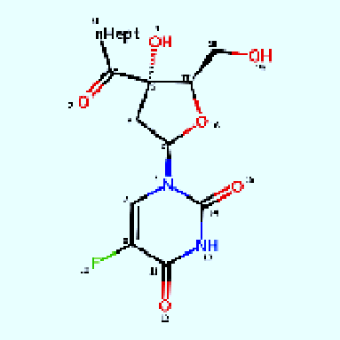 CCCCCCCC(=O)[C@]1(O)C[C@H](n2cc(F)c(=O)[nH]c2=O)O[C@@H]1CO